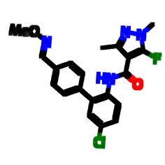 CO/N=C/c1ccc(-c2cc(Cl)ccc2NC(=O)c2c(C)nn(C)c2F)cc1